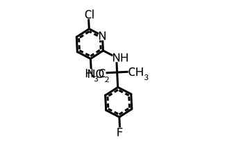 CC(C)(Nc1nc(Cl)ccc1[N+](=O)[O-])c1ccc(F)cc1